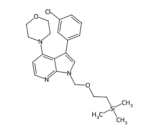 C[Si](C)(C)CCOCn1cc(-c2cccc(Cl)c2)c2c(N3CCOCC3)ccnc21